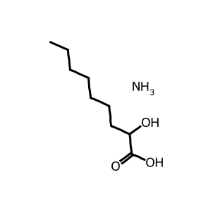 CCCCCCCC(O)C(=O)O.N